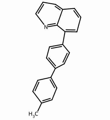 Cc1ccc(-c2ccc(-c3cccc4cccnc34)cc2)cc1